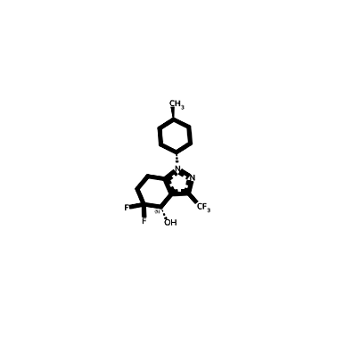 C[C@H]1CC[C@H](n2nc(C(F)(F)F)c3c2CCC(F)(F)[C@H]3O)CC1